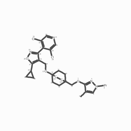 Cc1cn(C(C)C)nc1OCC12CCC(OCc3c(-c4c(Cl)cncc4Cl)noc3C3CC3)(CC1)CC2